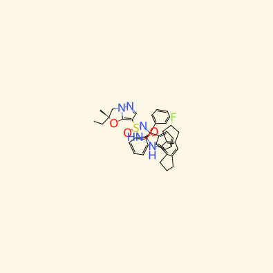 CC[C@]1(C)Cn2ncc(S(=O)(=NC(c3ccccc3)(c3ccccc3)c3ccccc3)NC(=O)Nc3c4c(cc5c3C[C@H](F)C5)CCC4)c2O1